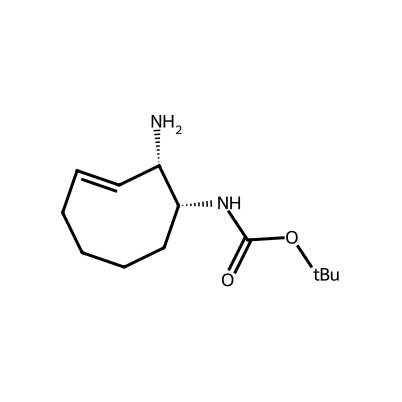 CC(C)(C)OC(=O)N[C@@H]1CCCC/C=C/[C@@H]1N